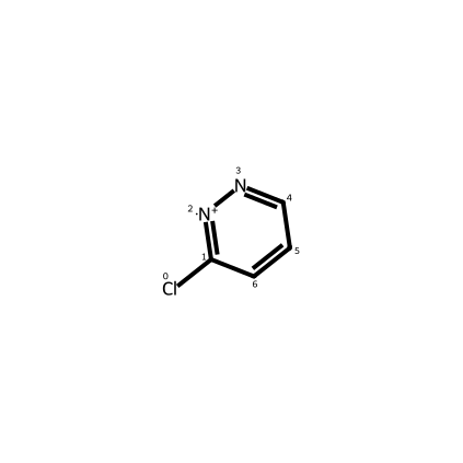 ClC1=[N+]N=CC=C1